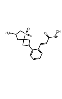 NC1CC2(CN(c3ccccc3/C=C/C(=O)NO)C2)S(=O)(=O)C1